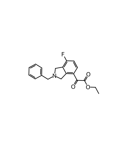 CCOC(=O)C(=O)c1ccc(F)c2c1CN(Cc1ccccc1)C2